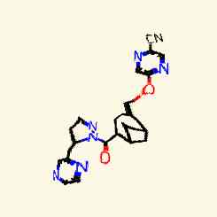 N#Cc1cnc(OCC2CC(C(=O)N3N=CCC3c3cnccn3)C3CC2C3)cn1